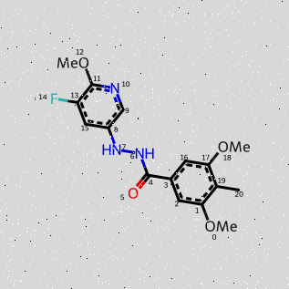 COc1cc(C(=O)NNc2cnc(OC)c(F)c2)cc(OC)c1C